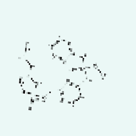 CCOP(=O)(Sc1ccccc1)Sc1ccccc1.CCOP(=S)(OCC)SCCSCC